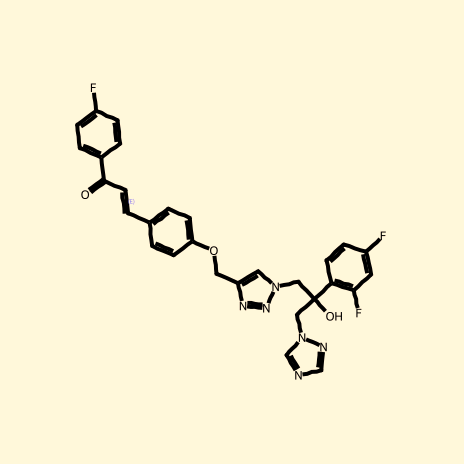 O=C(/C=C/c1ccc(OCc2cn(CC(O)(Cn3cncn3)c3ccc(F)cc3F)nn2)cc1)c1ccc(F)cc1